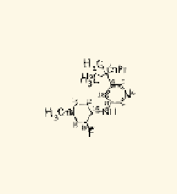 CCCC(C)(C)c1cncc(N[C@@H]2CCN(C)C[C@@H]2F)c1